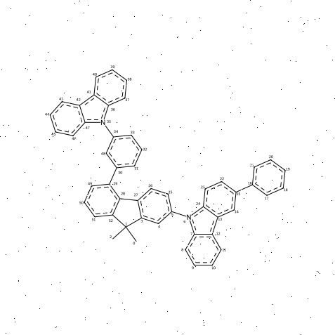 CC1(C)c2cc(-n3c4ccccc4c4cc(-c5ccccc5)ccc43)ccc2-c2c(-c3cccc(-n4c5ccccc5c5ccccc54)c3)cccc21